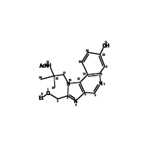 CCOCc1nc2cnc3cc(O)ccc3c2n1CC(C)(C)NC(C)=O